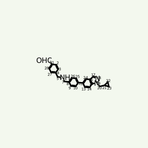 O=Cc1ccc(CNCc2ccc(-c3ccc4c(cnn4CC4CC4)c3)cc2)cc1